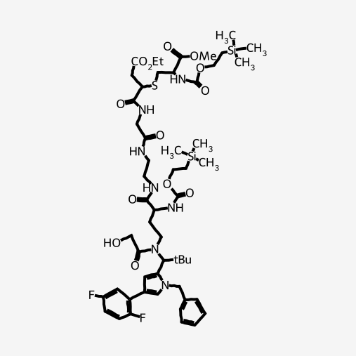 CCOC(=O)CC(SCC(NC(=O)OCC[Si](C)(C)C)C(=O)OC)C(=O)NCC(=O)NCCNC(=O)C(CCN(C(=O)CO)C(c1cc(-c2cc(F)ccc2F)cn1Cc1ccccc1)C(C)(C)C)NC(=O)OCC[Si](C)(C)C